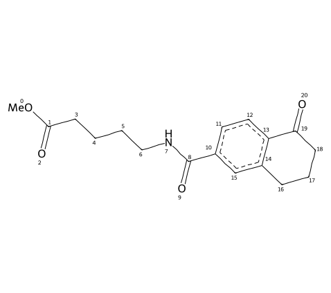 COC(=O)CCCCNC(=O)c1ccc2c(c1)CCCC2=O